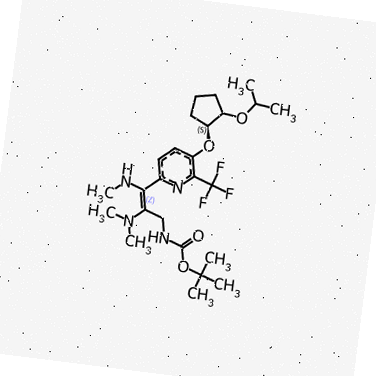 CN/C(=C(/CNC(=O)OC(C)(C)C)N(C)C)c1ccc(O[C@H]2CCCC2OC(C)C)c(C(F)(F)F)n1